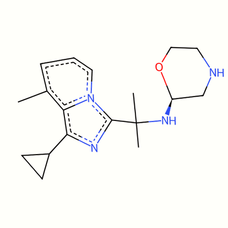 Cc1cccn2c(C(C)(C)N[C@@H]3CNCCO3)nc(C3CC3)c12